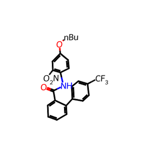 CCCCOc1ccc(NC(=O)c2ccccc2-c2ccc(C(F)(F)F)cc2)c([N+](=O)[O-])c1